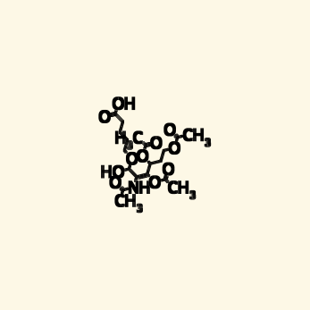 CC(=O)N/C(=C(\OC(C)=O)C(CCOC(C)=O)OC(C)=O)C(O)OCCCCC(=O)O